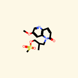 COc1cnc2ccc(=O)n(CC(C)COS(C)(=O)=O)c2c1